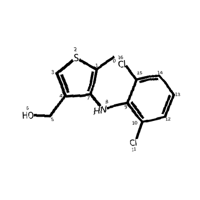 Cc1scc(CO)c1Nc1c(Cl)cccc1Cl